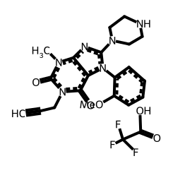 C#CCn1c(=O)c2c(nc(N3CCNCC3)n2-c2ccccc2OC)n(C)c1=O.O=C(O)C(F)(F)F